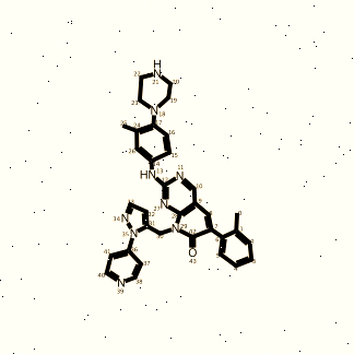 Cc1ccccc1-c1cc2cnc(Nc3ccc(N4CCNCC4)c(C)c3)nc2n(Cc2ccnn2-c2ccncc2)c1=O